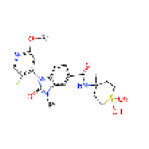 CC(C)Oc1cc(-n2c(=O)n(C(C)C)c3cc(C(=O)NC4(C)CCS(O)(O)CC4)ccc32)c(F)cn1